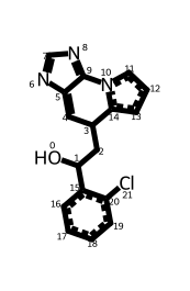 OC(CC1C=C2N=CN=C2n2cccc21)c1ccccc1Cl